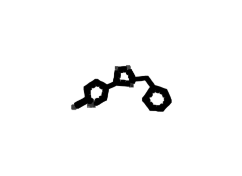 O=c1ccc(-c2noc(Cc3ccccc3)n2)c[nH]1